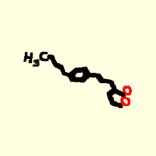 CCCCCc1ccc(CCCC2CCCOC2=O)cc1